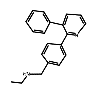 CCNCc1ccc(-c2ncccc2-c2ccccc2)cc1